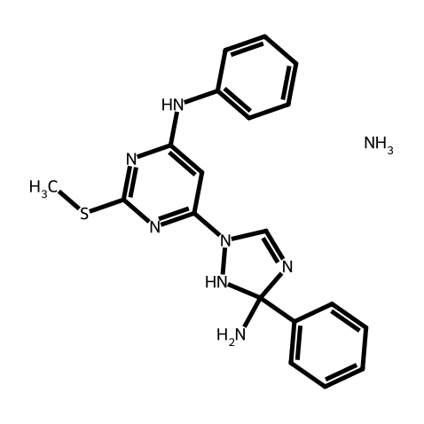 CSc1nc(Nc2ccccc2)cc(N2C=NC(N)(c3ccccc3)N2)n1.N